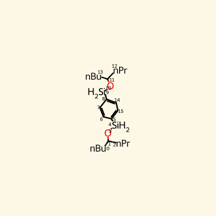 CCCCC(CCC)O[SiH2]c1ccc([SiH2]OC(CCC)CCCC)cc1